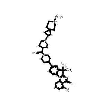 CC1(C)c2cc(C3CCN(C(=O)C4CCN(C5CC6(CCN(C(=O)O)CC6)C5)CC4)CC3)ccc2-n2c1nc(=O)c1c(Cl)cccc12